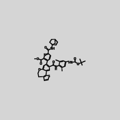 COC(=O)c1nc(C(=O)NC23CCC(CC2)C3)ccc1-c1cc2c(cc1C(=O)Nc1c(C)cc(CNC(=O)OC(C)(C)C)cc1C)-c1sccc1CCO2